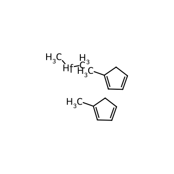 CC1=CC=CC1.CC1=CC=CC1.[CH3][Hf][CH3]